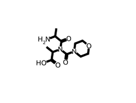 CC(N)C(=O)N(C(=O)N1CCOCC1)C(C)C(=O)O